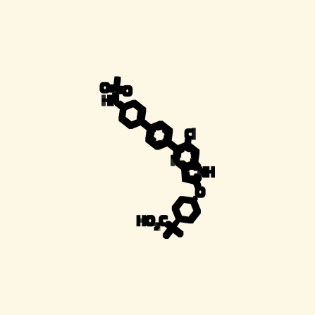 CC(C)(C(=O)O)[C@H]1CC[C@H](Oc2cc3nc(-c4ccc(C5=CCC(NS(C)(=O)=O)CC5)cc4)c(Cl)cc3[nH]2)CC1